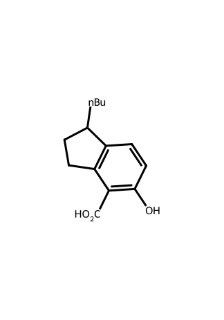 CCCCC1CCc2c1ccc(O)c2C(=O)O